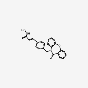 C=C(/C=C/c1ccc(CN2C(=O)c3ccccc3Oc3ccccc32)cc1)NO